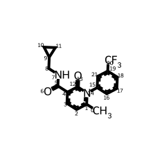 Cc1ccc(C(=O)NCC2CC2)c(=O)n1-c1cccc(C(F)(F)F)c1